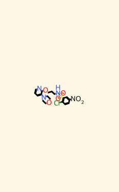 O=[N+]([O-])c1ccc(Cl)c(S(=O)(=O)NCCCOc2ncccc2N2CCOCC2)c1